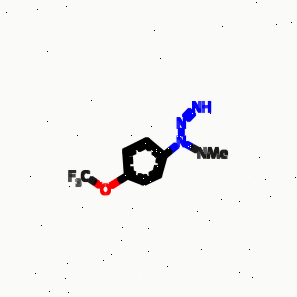 CNN(N=N)c1ccc(OC(F)(F)F)cc1